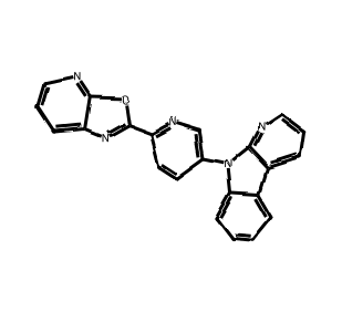 c1cnc2oc(-c3ccc(-n4c5ccccc5c5cccnc54)cn3)nc2c1